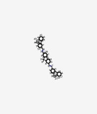 CC1(C)c2cc(/C=C/c3ccc4c(c3)-c3ccccc3[Si]4(C)C)ccc2-c2ccc(/C=C/c3ccc4c(c3)-c3ccccc3[Si]4(C)C)cc21